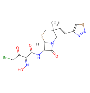 O=C(CBr)C(=NO)C(=O)NC1C(=O)N2CC(C=Cc3csnn3)(C(=O)O)CS[C@H]12